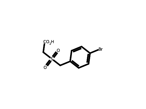 O=C(O)CS(=O)(=O)Cc1ccc(Br)cc1